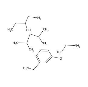 CC(C)CC(C)N.CCC(O)CN.CCN.NCc1cccc(Cl)c1